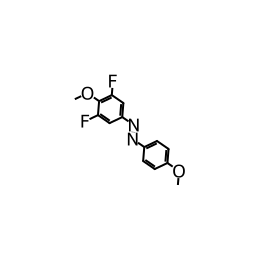 COc1ccc(N=Nc2cc(F)c(OC)c(F)c2)cc1